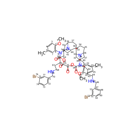 COc1ccc(C)cc1N(C(=O)OC(=O)C(=O)OC(=O)N(c1cc(C)ccc1OC)C1CC2CCCC(C1)N2CCCCCCNCc1cccc(Br)c1)C1CC2CCCC(C1)N2CCCCCCNCc1cccc(Br)c1